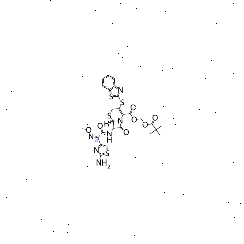 CO/N=C(\C(=O)NC1C(=O)N2C(C(=O)OCOC(=O)C(C)(C)C)=C(Sc3nc4ccccc4s3)CS[C@@H]12)c1csc(N)n1